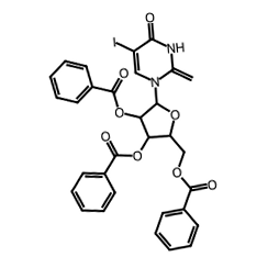 C=C1NC(=O)C(I)=CN1C1OC(COC(=O)c2ccccc2)C(OC(=O)c2ccccc2)C1OC(=O)c1ccccc1